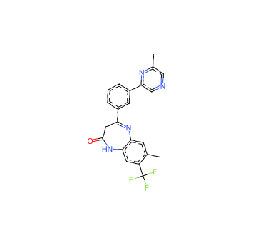 Cc1cncc(-c2cccc(C3=Nc4cc(C)c(C(F)(F)F)cc4NC(=O)C3)c2)n1